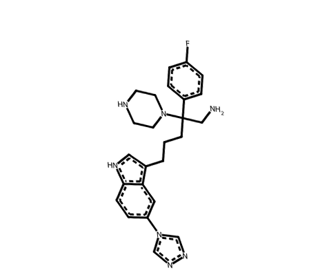 NCC(CCCc1c[nH]c2ccc(-n3cnnc3)cc12)(c1ccc(F)cc1)N1CCNCC1